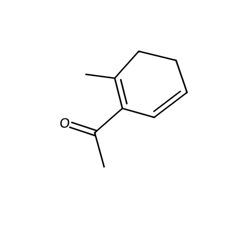 CC(=O)C1=C(C)CCC=C1